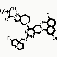 CCc1c(F)ccc2cc(O)cc(N3CCc4c(nc(OC[C@@]56CCCN5C[C@H](F)C6)nc4N4CCCc5nn(C(=O)N(C)C)cc5C4)C3)c12